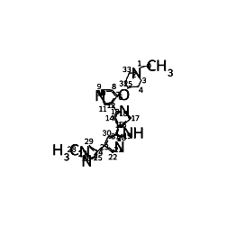 CCN1CCC(Oc2ccncc2-c2cc3c(cn2)[nH]c2ncc(-c4cnn(C)c4)cc23)CC1